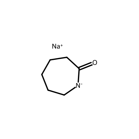 O=C1CCCCC[N-]1.[Na+]